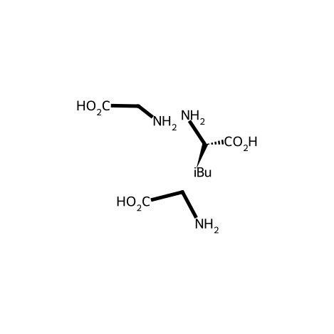 CC[C@H](C)[C@H](N)C(=O)O.NCC(=O)O.NCC(=O)O